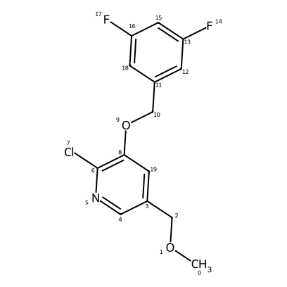 COCc1cnc(Cl)c(OCc2cc(F)cc(F)c2)c1